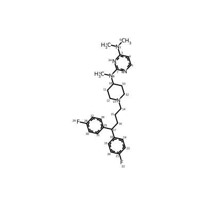 CN(C)c1ccnc(N(C)C2CCN(CCCC(c3ccc(F)cc3)c3ccc(F)cc3)CC2)n1